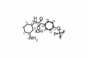 N[C@H]1CCC[C@@H](NS(=O)(=O)c2ccc(OC(F)(F)F)cc2)[C@@H]1O